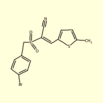 Cc1ccc(C=C(C#N)S(=O)(=O)Cc2ccc(Br)cc2)s1